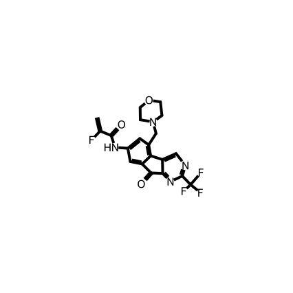 C=C(F)C(=O)Nc1cc(CN2CCOCC2)c2c(c1)C(=O)c1nc(C(F)(F)F)ncc1-2